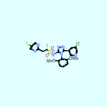 COc1cccc(OC)c1-n1c(NS(=O)(=O)[C@@H](C)Cc2ncc(F)cn2)nnc1-c1cncc(Cl)c1